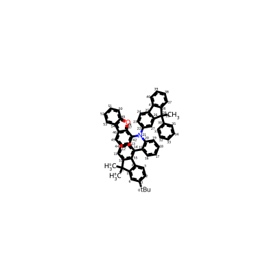 CC(C)(C)c1ccc2c(c1)C(C)(C)c1cccc(-c3ccccc3N(c3ccc4c(c3)C(C)(c3ccccc3)c3ccccc3-4)c3cccc4c3oc3ccccc34)c1-2